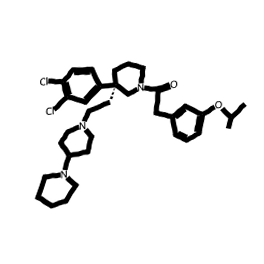 CC(C)Oc1cccc(CC(=O)N2CCC[C@](CCN3CCC(N4CCCCC4)CC3)(c3ccc(Cl)c(Cl)c3)C2)c1